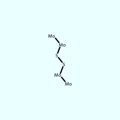 [Mo][Mo][S][S][Mo][Mo]